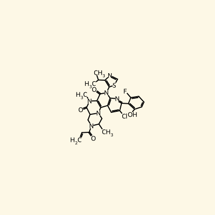 C=CC(=O)N1CC2C(=O)N(C)c3c(c4cc(Cl)c(-c5c(O)cccc5F)nc4n(-c4scnc4C(C)C)c3=O)N2CC1C